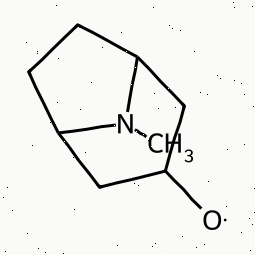 CN1C2CCC1CC([O])C2